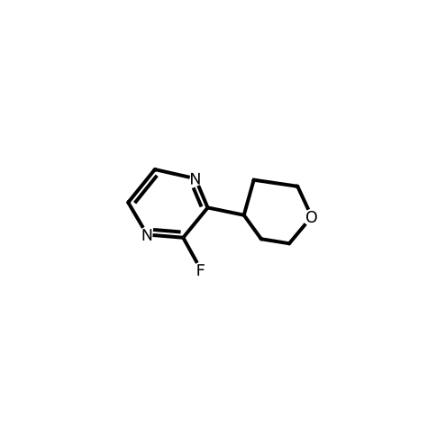 Fc1nccnc1C1CCOCC1